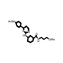 COCCCNC(=O)c1cccc(Nc2nccc(-c3ccc(NC(C)=O)cc3)n2)c1